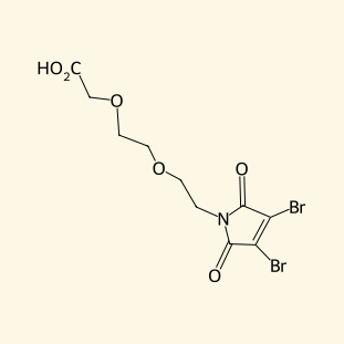 O=C(O)COCCOCCN1C(=O)C(Br)=C(Br)C1=O